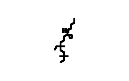 CCCCNC(=O)CCCC(C)(CC)CCC(C)(C)CC